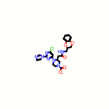 COC(=O)N1CCN(c2cc(Cl)nc(-n3ccnc3)n2)C(CC(=O)NCC2COc3ccccc3O2)C1